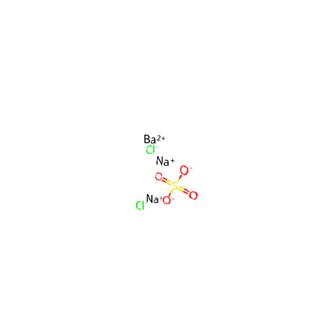 O=S(=O)([O-])[O-].[Ba+2].[Cl-].[Cl-].[Na+].[Na+]